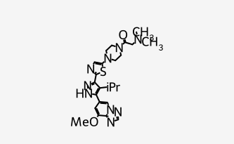 COc1cc(-c2[nH]nc(-c3ncc(N4CCN(C(=O)CN(C)C)CC4)s3)c2C(C)C)cn2ncnc12